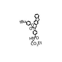 CCOC(=O)CCNC(=O)c1ccc(N(Cc2ccc3c(c2)Cc2ccccc2-3)C(=O)Oc2ccc(C(C)(C)C)cc2)cc1